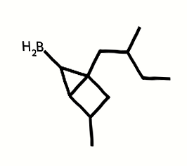 BC1C2C(C)CC12CC(C)CC